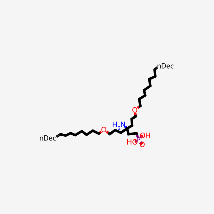 CCCCCCCCCCCCCCCCCCOCCCC(N)(CCCOCCCCCCCCCCCCCCCCCC)CCP(=O)(O)O